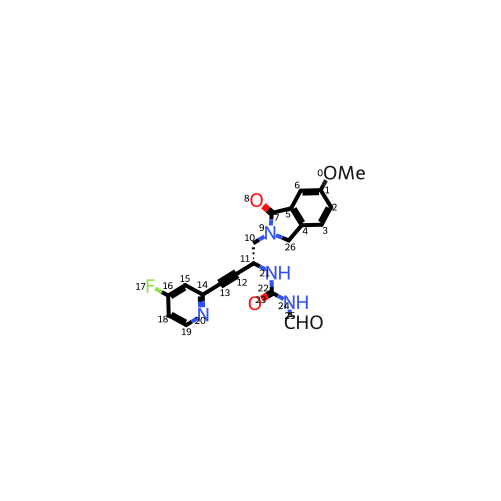 COc1ccc2c(c1)C(=O)N(C[C@@H](C#Cc1cc(F)ccn1)NC(=O)NC=O)C2